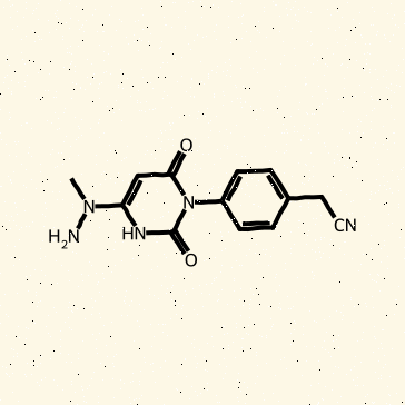 CN(N)c1cc(=O)n(-c2ccc(CC#N)cc2)c(=O)[nH]1